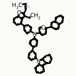 C=Cc1c(/C=C\C)oc2cccc(-c3ccc(N(c4ccc(-c5cccc(-n6c7ccccc7c7ccccc76)c5)cc4)c4ccc(-c5ccc6ccccc6c5)cc4)cc3)c12